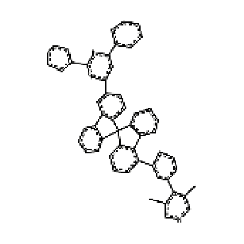 Cc1cncc(C)c1-c1cccc(-c2cccc3c2-c2ccccc2C32c3ccccc3-c3cc(-c4cc(-c5ccccc5)nc(-c5ccccc5)n4)ccc32)c1